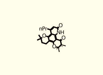 CCCc1cc(=O)[nH]c2c3c(c4c(c12)OC(C)(C)CC4)O[C@H](C)[C@H](C)C3=O